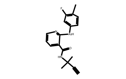 C#CC(C)(C)NC(=O)c1cccnc1[AsH]c1ccc(C)c(F)c1